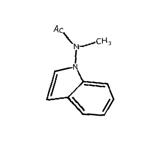 CC(=O)N(C)n1ccc2ccccc21